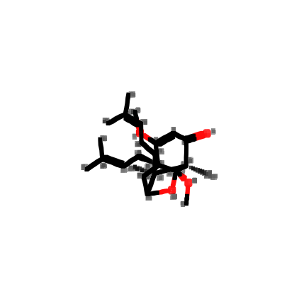 COC1=CC(=O)[C@H]2[C@]3(OC)OC(C[C@]13CC=C(C)C)[C@@]2(C)CCC=C(C)C